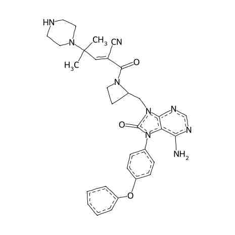 CC(C)(C=C(C#N)C(=O)N1CCC1Cn1c(=O)n(-c2ccc(Oc3ccccc3)cc2)c2c(N)ncnc21)N1CCNCC1